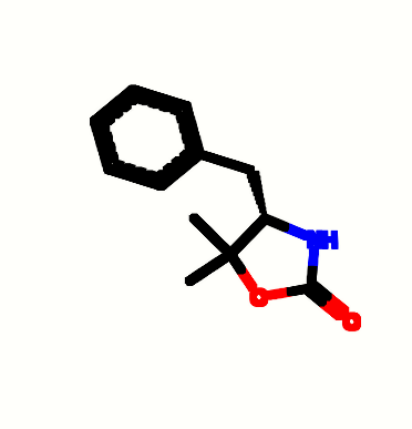 CC1(C)OC(=O)N[C@H]1Cc1ccccc1